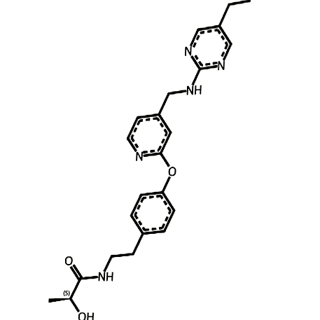 CCc1cnc(NCc2ccnc(Oc3ccc(CCNC(=O)[C@H](C)O)cc3)c2)nc1